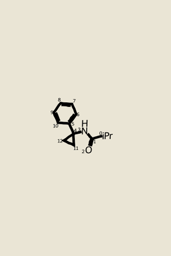 CC(C)C(=O)NC1(c2ccccc2)CC1